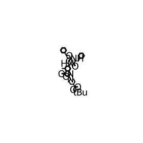 Cc1cc(NC(=O)[C@H](Cc2ccccc2)NC(=O)OCc2ccccc2)cc2nc(N3CCC(C(=O)OC(C)(C)C)CC3)oc(=O)c12